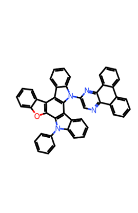 c1ccc(-n2c3ccccc3c3c2c2oc4ccccc4c2c2c4ccccc4n(-c4cnc5c6ccccc6c6ccccc6c5n4)c23)cc1